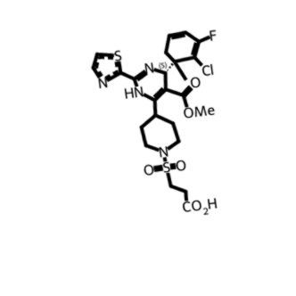 COC(=O)C1=C(C2CCN(S(=O)(=O)CCC(=O)O)CC2)NC(c2nccs2)=N[C@@H]1C1(C)CC=CC(F)=C1Cl